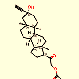 C#C[C@@]1(O)CC[C@H]2[C@H](CC[C@@H]3[C@@H]2CC[C@]2(C)[C@@H](C(=O)COC(=O)CCC)CC[C@@H]32)C1